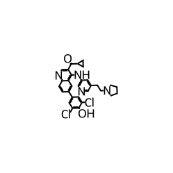 O=C(c1cnc2ccc(-c3cc(Cl)c(O)c(Cl)c3)cc2c1Nc1cncc(CCN2CCCC2)c1)C1CC1